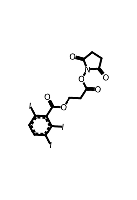 O=C(CCOC(=O)c1c(I)ccc(I)c1I)ON1C(=O)CCC1=O